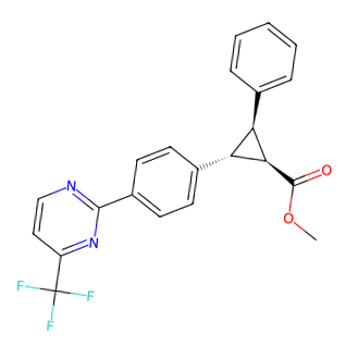 COC(=O)[C@@H]1[C@H](c2ccccc2)[C@H]1c1ccc(-c2nccc(C(F)(F)F)n2)cc1